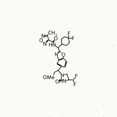 COCC(c1ccc2oc(C(NC(=O)c3nonc3C)C3CCC(F)(F)CC3)nc2c1)N1CC(C(F)F)NC1=O